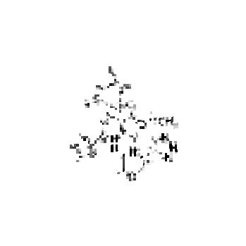 CCOC(=O)C1=C(CN2CCOCC2C2N=NN=N2)NC(c2nccs2)=NC1c1ccc(F)cc1Br